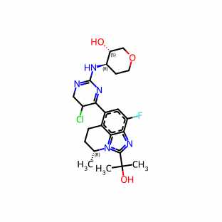 C[C@@H]1CCc2c(C3=NC(N[C@@H]4CCOC[C@H]4O)=NCC3Cl)cc(F)c3nc(C(C)(C)O)n1c23